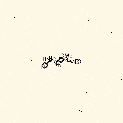 COc1cc2c(Oc3cc(-c4ccncc4)[nH]n3)ncnc2cc1OCCCN1CCOCC1